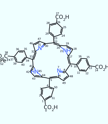 O=C(O)c1ccc(-c2c3nc(c(-c4ccc(C(=O)O)cc4)c4ccc([nH]4)c(-c4ccc(C(=O)O)cc4)c4nc(c(-c5ccc(C(=O)O)cc5)c5ccc2[nH]5)C=C4)C=C3)cc1.[Fe+3]